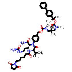 CC(C)[C@H](NC(=O)CCCCCN1C(=O)C=CC1=O)C(=O)N(c1ccc(COC(=O)N(C)CC(C)(C)CN(C)C(=O)OC(C)(C)c2ccc(-c3ccccc3)cc2)cc1)[C@@H](CCCNC(N)=O)C(N)=O